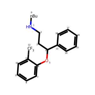 CCCCNCCC(Oc1ccccc1C(F)(F)F)c1ccccc1